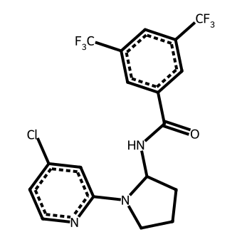 O=C(NC1CCCN1c1cc(Cl)ccn1)c1cc(C(F)(F)F)cc(C(F)(F)F)c1